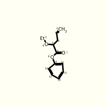 C=CCC(OCC)C(=O)Oc1ccccc1